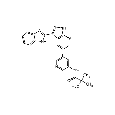 CC(C)(C)C(=O)Nc1cncc(-c2cnc3[nH]nc(-c4nc5ccccc5[nH]4)c3c2)c1